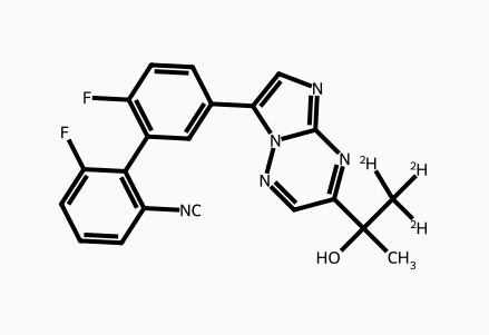 [2H]C([2H])([2H])C(C)(O)c1cnn2c(-c3ccc(F)c(-c4c(F)cccc4[N+]#[C-])c3)cnc2n1